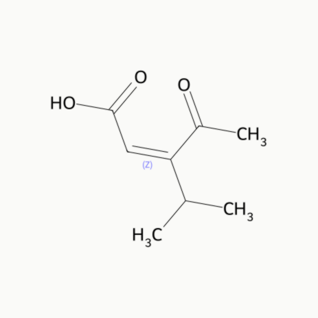 CC(=O)/C(=C\C(=O)O)C(C)C